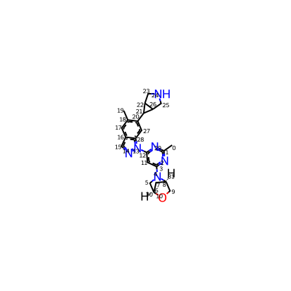 Cc1nc(N2C[C@H]3C[C@@H]2CO3)cc(-n2ncc3cc(C)c(C4C5CNCC54)cc32)n1